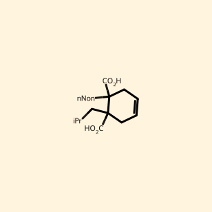 CCCCCCCCCC1(C(=O)O)CC=CCC1(CC(C)C)C(=O)O